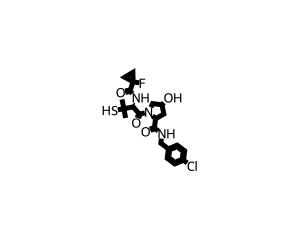 CC(C)(S)[C@H](NC(=O)C1(F)CC1)C(=O)N1CC(O)CC1C(=O)NCc1ccc(Cl)cc1